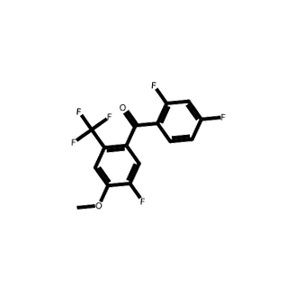 COc1cc(C(F)(F)F)c(C(=O)c2ccc(F)cc2F)cc1F